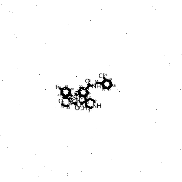 CC1C2(CCNCC2)c2cc(C(=O)NCc3ccccc3Cl)ccc2[N+]1(C(=O)N1CCOCC1)S(=O)(=O)c1ccc(F)cc1